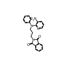 O=C1c2ccccc2C(=O)N1CCCN(c1ccccc1)c1ncccc1[N+](=O)[O-]